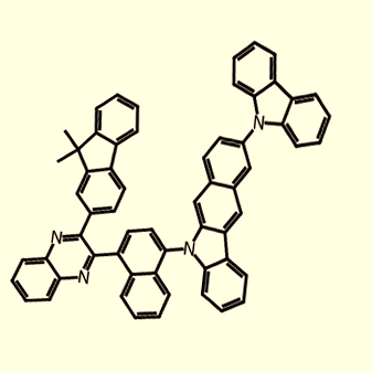 CC1(C)c2ccccc2-c2ccc(-c3nc4ccccc4nc3-c3ccc(-n4c5ccccc5c5cc6cc(-n7c8ccccc8c8ccccc87)ccc6cc54)c4ccccc34)cc21